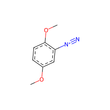 COc1ccc(OC)c([N+]#N)c1